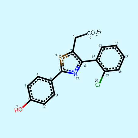 O=C(O)Cc1sc(-c2ccc(O)cc2)nc1-c1ccccc1Cl